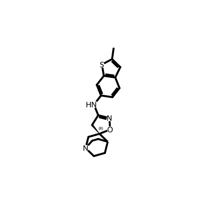 Cc1cc2ccc(NC3=NO[C@@]4(C3)CN3CCC4CC3)cc2s1